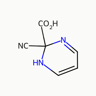 N#CC1(C(=O)O)N=CC=CN1